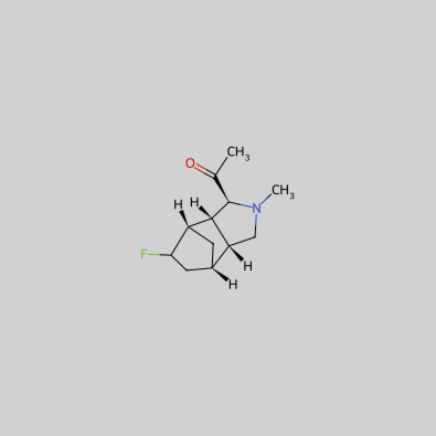 CC(=O)[C@@H]1[C@@H]2[C@H](CN1C)[C@@H]1CC(F)[C@H]2C1